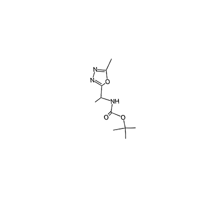 Cc1nnc(C(C)NC(=O)OC(C)(C)C)o1